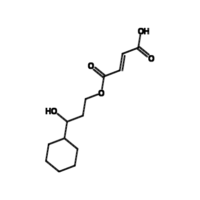 O=C(O)C=CC(=O)OCCC(O)C1CCCCC1